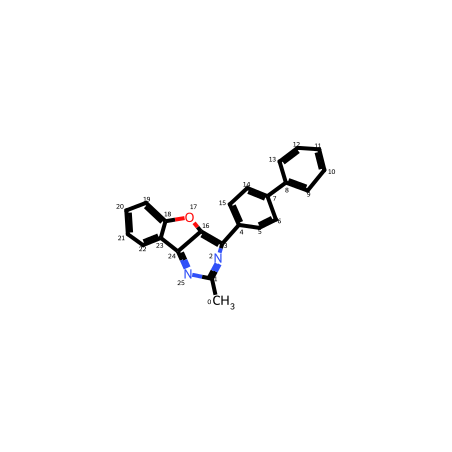 Cc1nc(-c2ccc(-c3ccccc3)cc2)c2oc3ccccc3c2n1